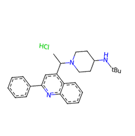 CC(c1cc(-c2ccccc2)nc2ccccc12)N1CCC(NC(C)(C)C)CC1.Cl